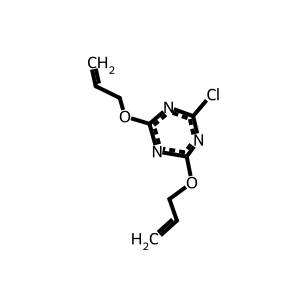 C=CCOc1nc(Cl)nc(OCC=C)n1